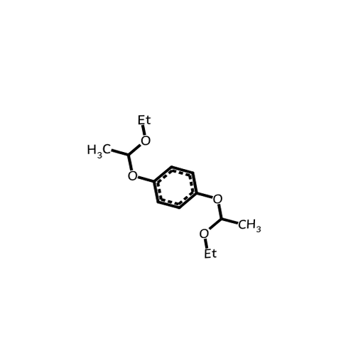 CCOC(C)Oc1ccc(OC(C)OCC)cc1